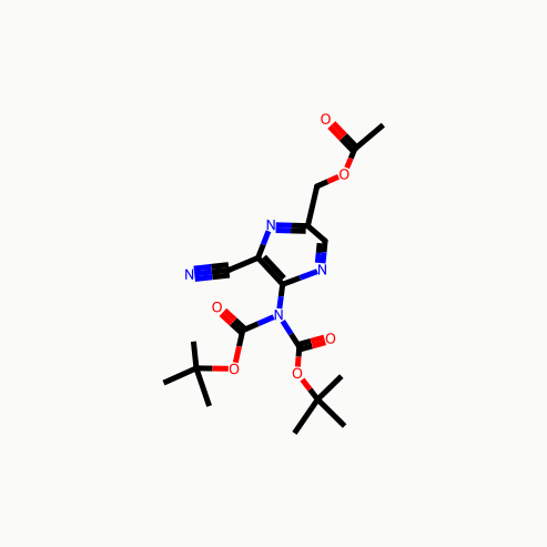 CC(=O)OCc1cnc(N(C(=O)OC(C)(C)C)C(=O)OC(C)(C)C)c(C#N)n1